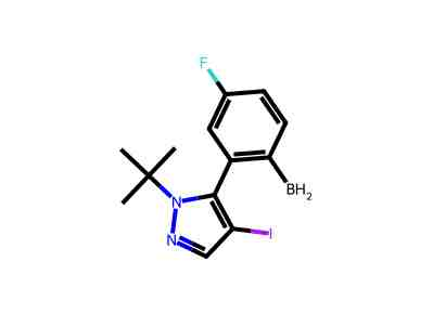 Bc1ccc(F)cc1-c1c(I)cnn1C(C)(C)C